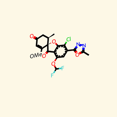 COC1=CC(=O)C[C@@H](C)[C@]12Oc1c(Cl)c(-c3nnc(C)o3)cc(OC(F)F)c1C2=O